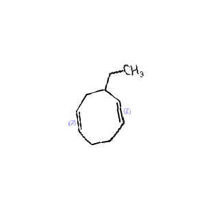 CCC1/C=C\CC/C=C\C1